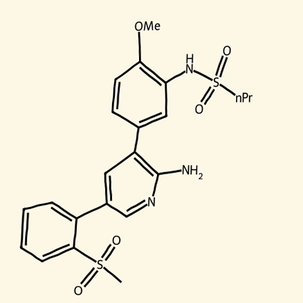 CCCS(=O)(=O)Nc1cc(-c2cc(-c3ccccc3S(C)(=O)=O)cnc2N)ccc1OC